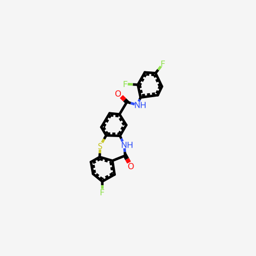 O=C(Nc1ccc(F)cc1F)c1ccc2c(c1)NC(=O)c1cc(F)ccc1S2